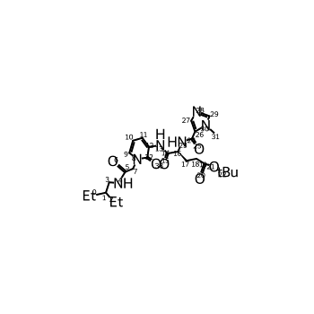 CCC(CC)CNC(=O)Cn1cccc(NC(=O)[C@H](CCC(=O)OC(C)(C)C)NC(=O)c2cncn2C)c1=O